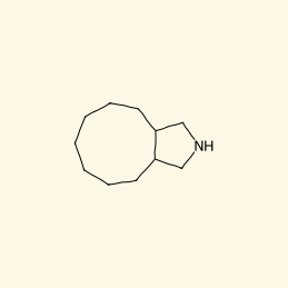 C1CCCC2CNCC2CCC1